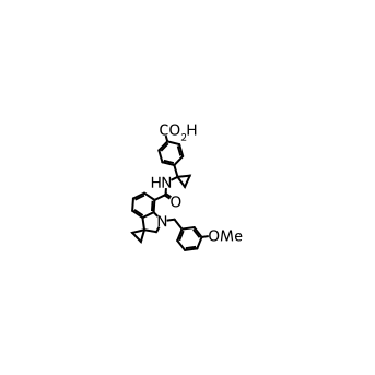 COc1cccc(CN2CC3(CC3)c3cccc(C(=O)NC4(c5ccc(C(=O)O)cc5)CC4)c32)c1